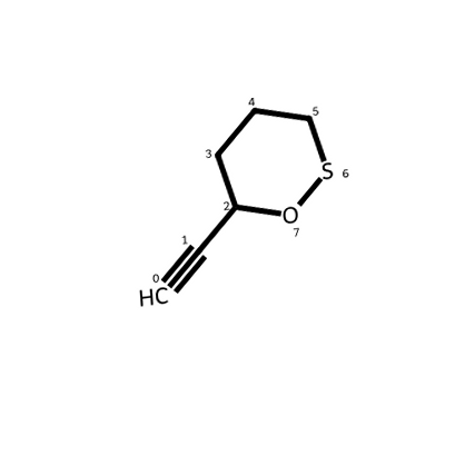 C#CC1CCCSO1